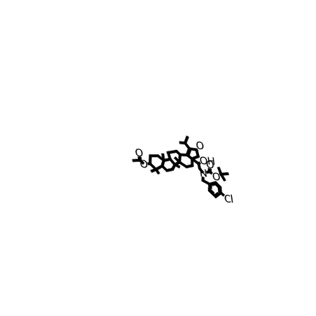 CC(=O)OC1CCC2(C)C(CCC3(C)C2CCC2C4=C(C(C)C)C(=O)CC4(C(O)CN(Cc4ccc(Cl)cc4)C(=O)OC(C)(C)C)CCC23C)C1(C)C